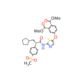 COC(=O)c1ccc(Oc2cnc(NC(=O)[C@H](CC3CCCC3)c3ccc(S(C)(=O)=O)cc3)s2)cc1C(=O)OC